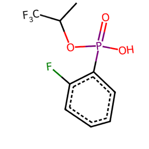 CC(OP(=O)(O)c1ccccc1F)C(F)(F)F